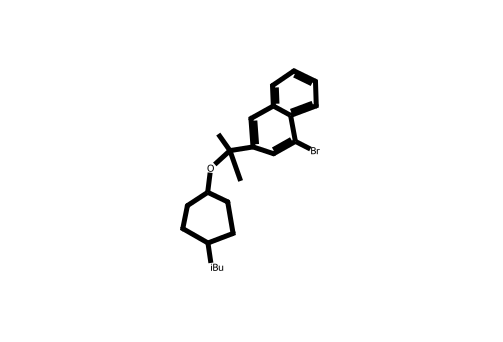 CCC(C)C1CCC(OC(C)(C)c2cc(Br)c3ccccc3c2)CC1